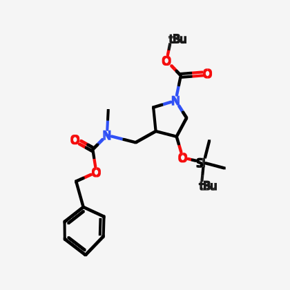 CN(CC1CN(C(=O)OC(C)(C)C)CC1O[Si](C)(C)C(C)(C)C)C(=O)OCc1ccccc1